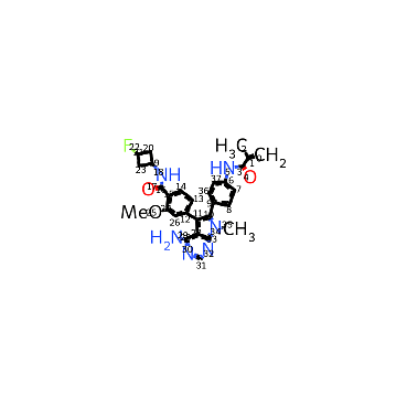 C=C(C)C(=O)Nc1ccc(-c2c(-c3ccc(C(=O)NC4CC(F)C4)c(OC)c3)c3c(N)ncnc3n2C)cc1